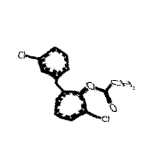 CC(=O)Oc1c(Cl)cccc1-c1cccc(Cl)c1